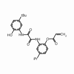 C=CC(=O)Oc1ccc(C(C)C)cc1NC(=O)C(=O)Nc1cc(C(C)(C)C)ccc1O